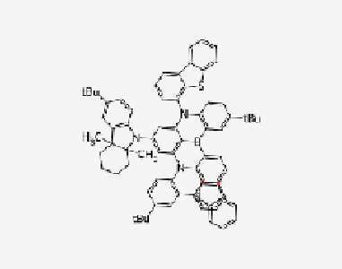 CC(C)(C)c1ccc2c(c1)B1c3ccc4c(oc5ccccc54)c3N(c3ccc(C(C)(C)C)cc3-c3ccccc3)c3cc(N4c5ccc(C(C)(C)C)cc5C5(C)CCCCC45C)cc(c31)N2c1cccc2c1sc1ccccc12